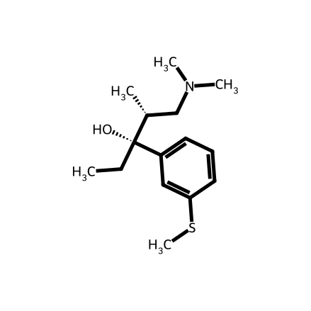 CC[C@](O)(c1cccc(SC)c1)[C@H](C)CN(C)C